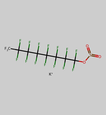 O=[S-](=O)OC(F)(F)C(F)(F)C(F)(F)C(F)(F)C(F)(F)C(F)(F)C(F)(F)C(F)(F)F.[K+]